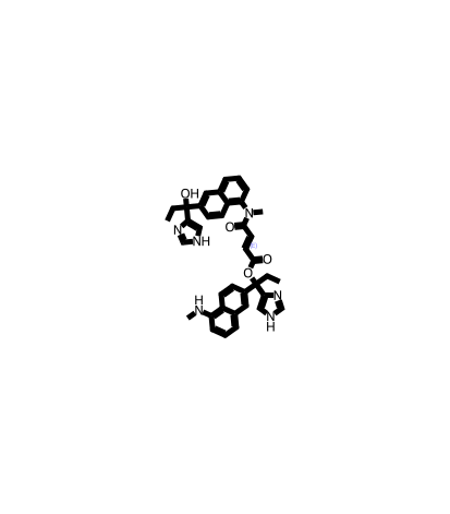 CCC(O)(c1ccc2c(N(C)C(=O)/C=C/C(=O)OC(CC)(c3ccc4c(NC)cccc4c3)c3c[nH]cn3)cccc2c1)c1c[nH]cn1